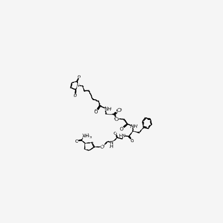 NC(=O)C1CCC(OCNC(=O)CNC(=O)[C@H](Cc2ccccc2)NC(=O)COC(=O)CNC(=O)CCCCCN2C(=O)C=CC2=O)C1